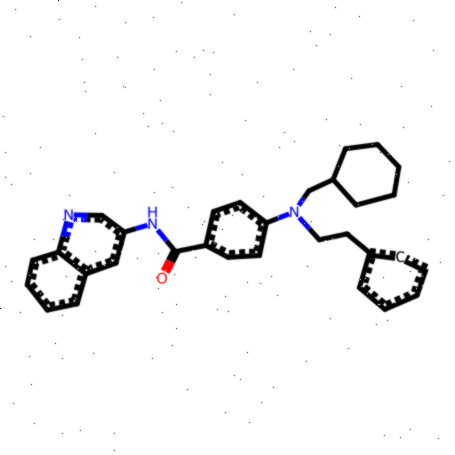 O=C(Nc1cnc2ccccc2c1)c1ccc(N(CCc2ccccc2)CC2CCCCC2)cc1